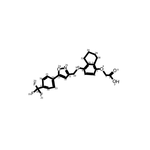 O=C(O)COc1ccc(SCc2cc(-c3ccc(C(F)(F)F)cc3)on2)c2c1CCCC2